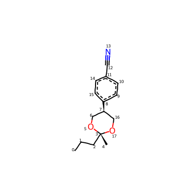 CCC[C@]1(C)OC[C@@H](c2ccc(C#N)cc2)CO1